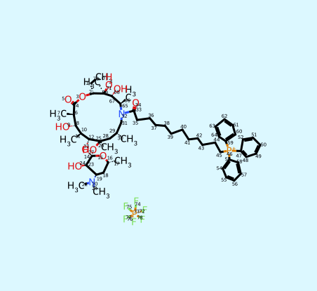 CC[C@H]1OC(=O)[C@H](C)[C@@H](O)[C@H](C)[C@@H](O[C@@H]2O[C@H](C)C[C@H](N(C)C)[C@H]2O)[C@](C)(O)C[C@@H](C)CN(C(=O)CCCCCCCCCCC[P+](c2ccccc2)(c2ccccc2)c2ccccc2)[C@H](C)[C@@H](O)[C@]1(C)O.F[P-](F)(F)(F)(F)F